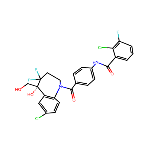 O=C(Nc1ccc(C(=O)N2CCC(F)(F)[C@](O)(CO)c3cc(Cl)ccc32)cc1)c1cccc(F)c1Cl